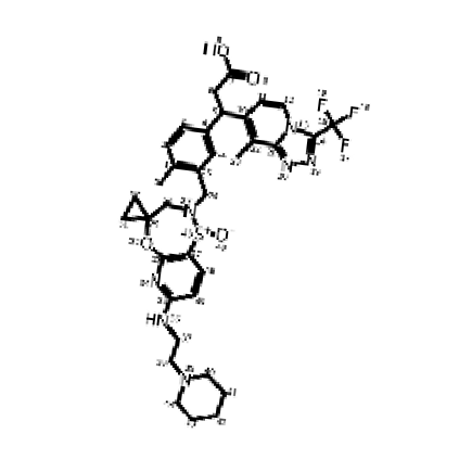 Cc1ccc(C(CC(=O)O)c2ccn3c(C(F)(F)F)nnc3c2C)cc1CN1CC2(CC2)Oc2nc(NCCN3CCCCC3)ccc2[S+]1[O-]